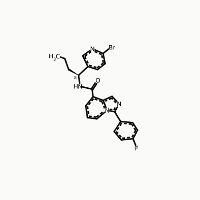 CCC[C@H](NC(=O)c1cccn2c(-c3ccc(F)cc3)ncc12)c1ccc(Br)nc1